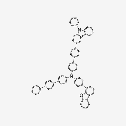 c1ccc(-c2ccc(-c3ccc(N(c4ccc(-c5ccc(-c6ccc7c(c6)c6ccccc6n7-c6ccccc6)cc5)cc4)c4ccc(-c5cccc6c5oc5ccccc56)cc4)cc3)cc2)cc1